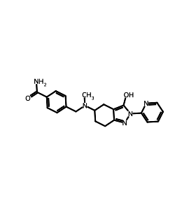 CN(Cc1ccc(C(N)=O)cc1)C1CCc2nn(-c3ccccn3)c(O)c2C1